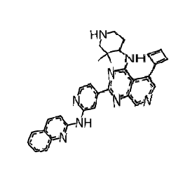 CC1(C)CNCCC1Nc1nc(-c2ccnc(Nc3ccc4ccccc4n3)c2)nc2cncc(C3=CC=C3)c12